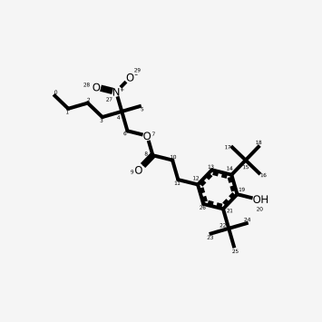 CCCCC(C)(COC(=O)CCc1cc(C(C)(C)C)c(O)c(C(C)(C)C)c1)[N+](=O)[O-]